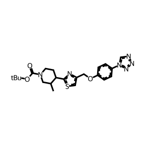 CC1CN(C(=O)OC(C)(C)C)CCC1c1nc(COc2ccc(-n3cnnn3)cc2)cs1